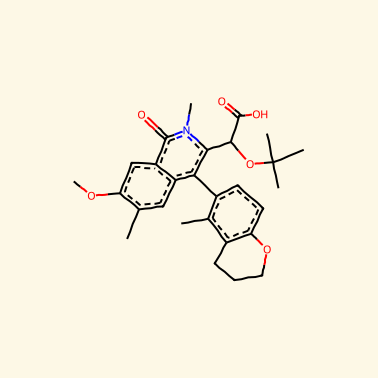 COc1cc2c(=O)n(C)c(C(OC(C)(C)C)C(=O)O)c(-c3ccc4c(c3C)CCCO4)c2cc1C